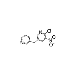 O=[N+]([O-])c1cc(Cc2cccnc2)cnc1Cl